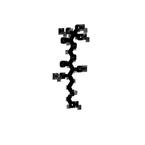 CCSCC[C@@H](N)C(O)C(=O)OCOC(=O)C(C)(C)C